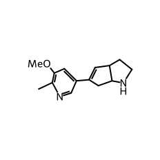 COc1cc(C2=CC3CCNC3C2)cnc1C